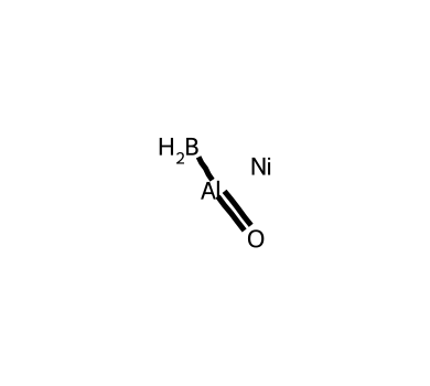 [BH2][Al]=[O].[Ni]